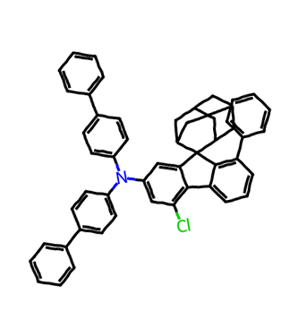 Clc1cc(N(c2ccc(-c3ccccc3)cc2)c2ccc(-c3ccccc3)cc2)cc2c1-c1cccc(-c3ccccc3)c1C21C2CC3CC(C2)CC1C3